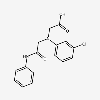 O=C(O)CN(CC(=O)Nc1ccccc1)c1cccc(Cl)c1